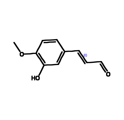 COc1ccc(/C=C/C=O)cc1O